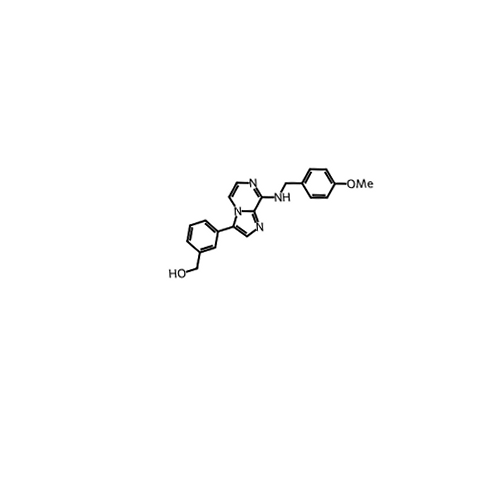 COc1ccc(CNc2nccn3c(-c4cccc(CO)c4)cnc23)cc1